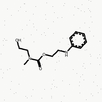 CN(CCO)C(=O)OCCNc1ccccc1